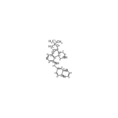 CC(C)(C)OC(=O)N1CCNCC1c1c(Cl)cncc1NCc1ccc2nccnc2c1